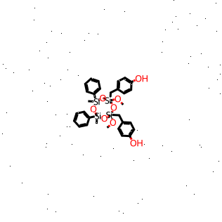 CO[Si]1(Cc2ccc(O)cc2)O[Si](Cc2ccc(O)cc2)(OC)O[Si](C)(c2ccccc2)O[Si](C)(c2ccccc2)O1